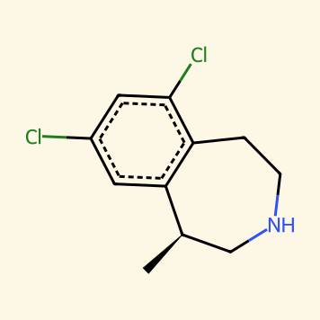 C[C@@H]1CNCCc2c(Cl)cc(Cl)cc21